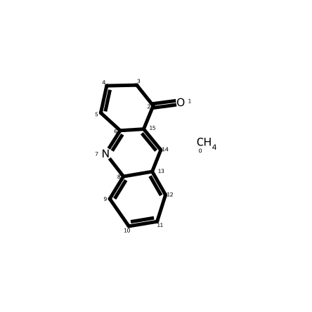 C.O=C1CC=Cc2nc3ccccc3cc21